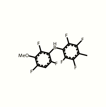 COc1c(F)cc(F)c(Bc2c(F)c(F)c(C)c(F)c2F)c1F